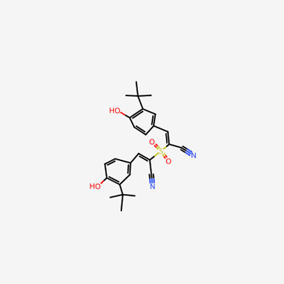 CC(C)(C)c1cc(C=C(C#N)S(=O)(=O)C(C#N)=Cc2ccc(O)c(C(C)(C)C)c2)ccc1O